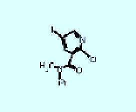 CC(C)N(C)C(=O)c1cc(I)cnc1Cl